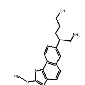 CCCCOc1nc2ccc3cc([C@H](CN)CCCO)ccc3c2s1